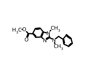 COC(=O)c1ccc2c(c1)nc(N(C)Cc1ccccc1)n2C